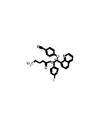 CCCCC(=O)C[C@H](c1ccc(F)cc1)[C@@H](Oc1ccc(C#N)cc1)c1cccc2cccnc12